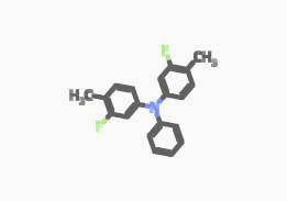 Cc1ccc(N(c2ccccc2)c2ccc(C)c(F)c2)cc1F